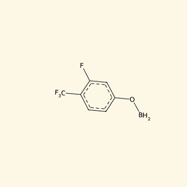 BOc1ccc(C(F)(F)F)c(F)c1